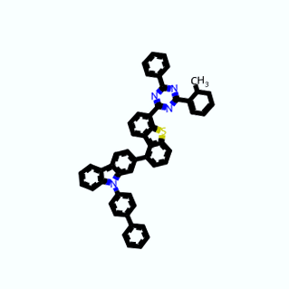 CC1CC=CC=C1c1nc(-c2ccccc2)nc(-c2cccc3c2sc2cccc(-c4ccc5c6ccccc6n(-c6ccc(-c7ccccc7)cc6)c5c4)c23)n1